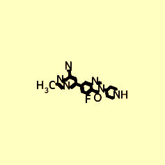 Cc1cn2cc(-c3cc(F)c4c(=O)n(C5CCNCC5)cnc4c3)cc(C#N)c2n1